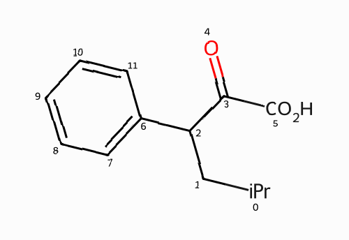 CC(C)CC(C(=O)C(=O)O)c1ccccc1